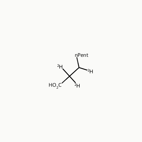 [2H]C(CCCCC)C([2H])([2H])C(=O)O